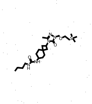 CCCCNC(=O)NC1CCC2(CC1)CC(n1c(C)nn(COCC[Si](C)(C)C)c1=O)C2